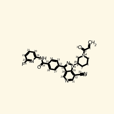 C=CC(=O)N1CCC[C@@H](n2nc(-c3ccc(C(=O)Nc4cccc(F)n4)cc3)c3cncc(C#N)c32)C1